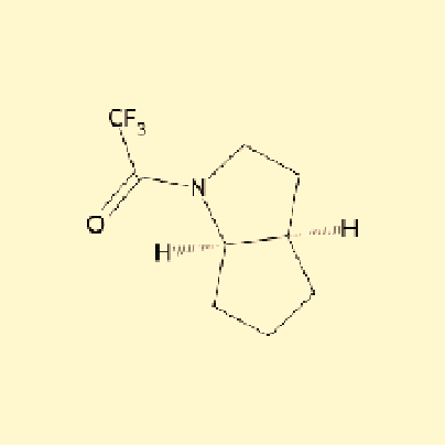 O=C(N1CC[C@H]2CCC[C@H]21)C(F)(F)F